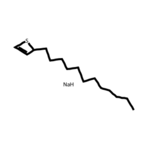 CCCCCCCCCCCCC1C=CS1.[NaH]